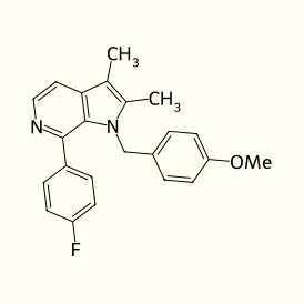 COc1ccc(Cn2c(C)c(C)c3ccnc(-c4ccc(F)cc4)c32)cc1